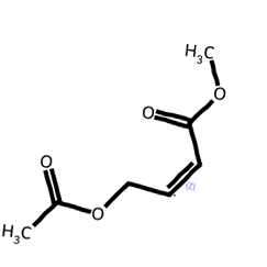 COC(=O)/C=[C]\COC(C)=O